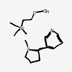 CN1CCCC1c1cccnc1.C[N+](C)(C)CCOO